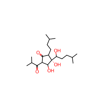 CC(C)CCC(O)[C@]1(O)C(CCC(C)C)C(=O)C(C(=O)C(C)C)C1O